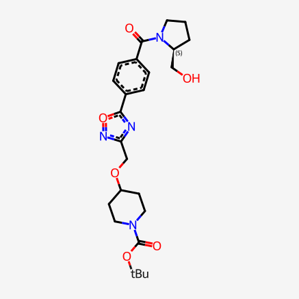 CC(C)(C)OC(=O)N1CCC(OCc2noc(-c3ccc(C(=O)N4CCC[C@H]4CO)cc3)n2)CC1